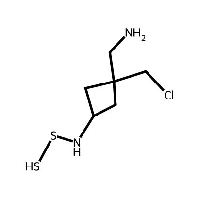 NCC1(CCl)CC(NSS)C1